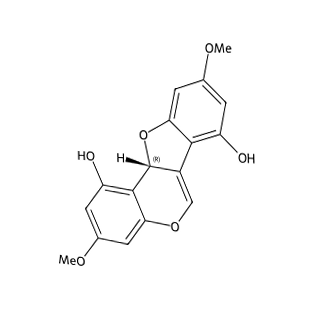 COc1cc(O)c2c(c1)O[C@@H]1C2=COc2cc(OC)cc(O)c21